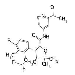 CC(=O)c1cc(NC(=O)[C@@H]2OC(C)(C)[C@@H](C)[C@@H]2c2ccc(F)c(C)c2OC(F)F)ccn1